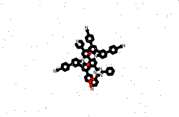 N#Cc1ccc(-c2ccc3c(c2)c2cc(-c4ccc(C#N)cc4)ccc2n3-c2cc(-c3ccncc3)ccc2-c2ccc(-c3nc(-c4ccccc4)nc(-c4ccccc4)n3)cc2-n2c3ccc(-c4ccc(C#N)cc4)cc3c3cc(-c4ccc(C#N)cc4)ccc32)cc1